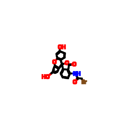 O=C(CBr)Nc1cccc2c1C(=O)OC21c2ccc(O)cc2Oc2cc(O)ccc21